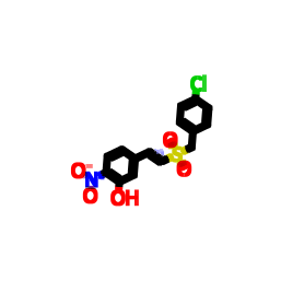 O=[N+]([O-])c1ccc(/C=C/S(=O)(=O)Cc2ccc(Cl)cc2)cc1O